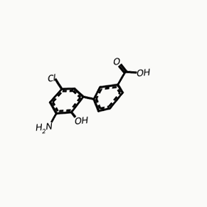 Nc1cc(Cl)cc(-c2cccc(C(=O)O)c2)c1O